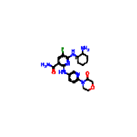 NC(=O)c1cc(F)c(N[C@@H]2CCCCC2N)nc1Nc1ccc(N2CCOCC2=O)nc1